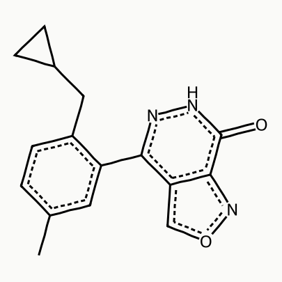 Cc1ccc(CC2CC2)c(-c2n[nH]c(=O)c3nocc23)c1